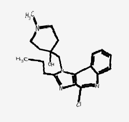 CCCc1nc2c(Cl)nc3ccccc3c2n1CC1(O)CCN(C)CC1